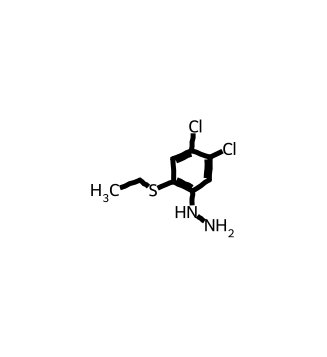 CCSc1cc(Cl)c(Cl)cc1NN